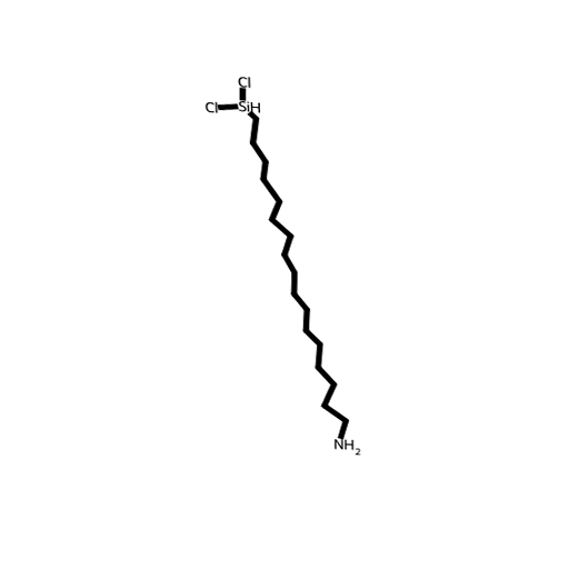 NCCCCCCCCCCCCCCCCC[SiH](Cl)Cl